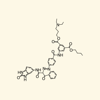 CCCCOC(=O)c1cc(NC(=O)c2ccc(/N=N/C(C(=O)Nc3ccc4[nH]c(=O)[nH]c4c3)C(=O)c3ccccc3)cc2)cc(C(=O)OCCCN(CC)CC)c1